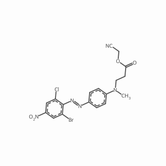 CN(CCC(=O)OCC#N)c1ccc(N=Nc2c(Cl)cc([N+](=O)[O-])cc2Br)cc1